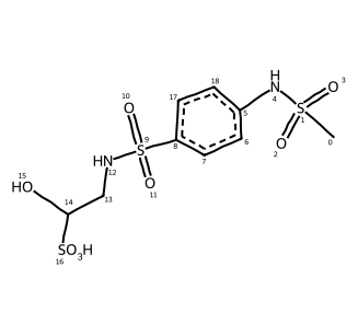 CS(=O)(=O)Nc1ccc(S(=O)(=O)NCC(O)S(=O)(=O)O)cc1